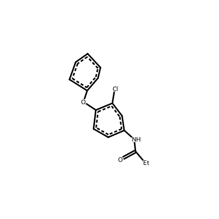 CCC(=O)Nc1ccc(Oc2ccccc2)c(Cl)c1